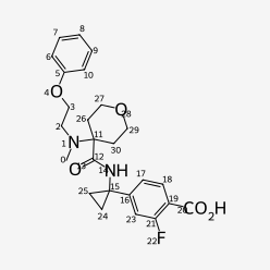 CN(CCOc1ccccc1)C1(C(=O)NC2(c3ccc(C(=O)O)c(F)c3)CC2)CCOCC1